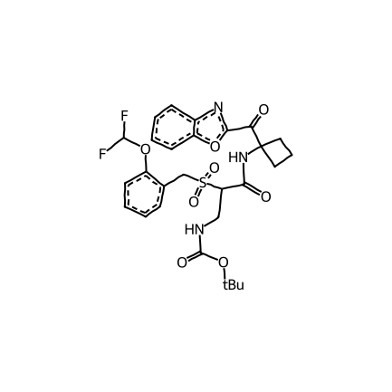 CC(C)(C)OC(=O)NCC(C(=O)NC1(C(=O)c2nc3ccccc3o2)CCC1)S(=O)(=O)Cc1ccccc1OC(F)F